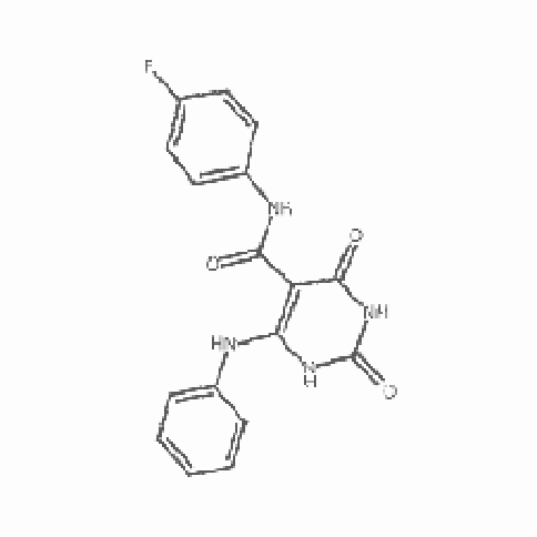 O=C(Nc1ccc(F)cc1)c1c(Nc2ccccc2)[nH]c(=O)[nH]c1=O